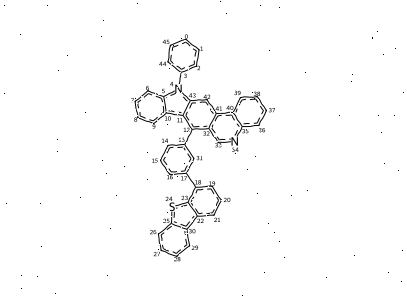 c1ccc(-n2c3ccccc3c3c(-c4cccc(-c5cccc6c5sc5ccccc56)c4)c4cnc5ccccc5c4cc32)cc1